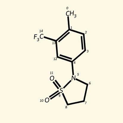 Cc1ccc(N2CCCS2(=O)=O)cc1C(F)(F)F